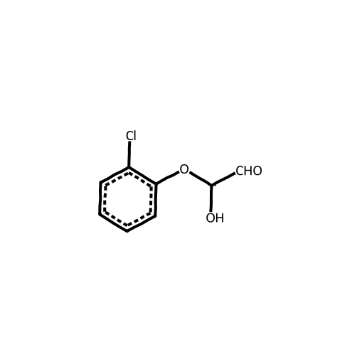 O=C[C](O)Oc1ccccc1Cl